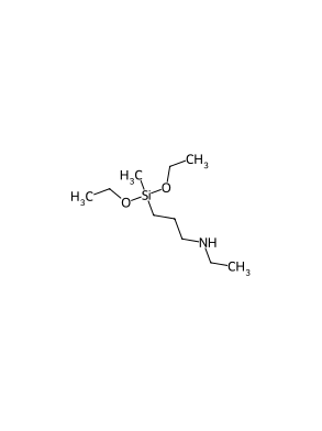 CCNCCC[Si](C)(OCC)OCC